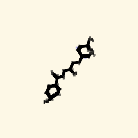 C=C(C)/C=C\C(=C/C)OCC(O)COC(=O)c1ccc(O)cc1